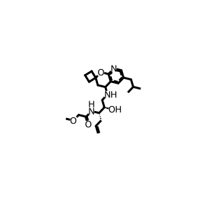 C=CC[C@H](NC(=O)COC)[C@H](O)CNC1CC2(CCC2)Oc2ncc(CC(C)C)cc21